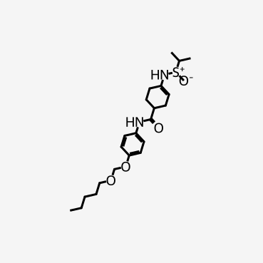 CCCCCOCOc1ccc(NC(=O)C2CC=C(N[S+]([O-])C(C)C)CC2)cc1